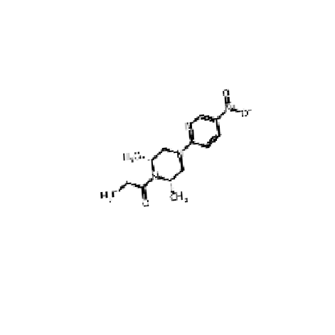 CCC(=O)N1[C@H](C)CN(c2ccc([N+](=O)[O-])cn2)C[C@@H]1C